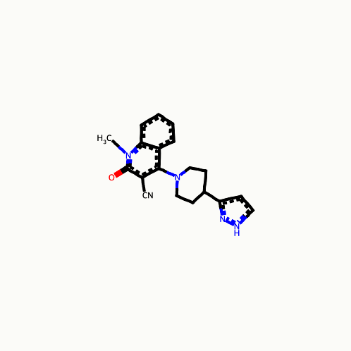 Cn1c(=O)c(C#N)c(N2CCC(c3cc[nH]n3)CC2)c2ccccc21